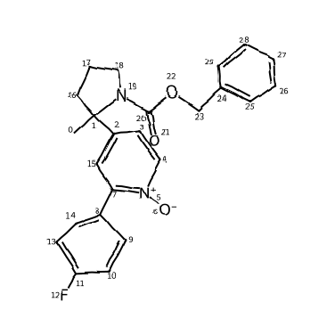 CC1(c2cc[n+]([O-])c(-c3ccc(F)cc3)c2)CCCN1C(=O)OCc1ccccc1